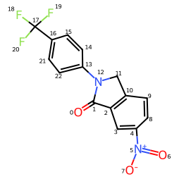 O=C1c2cc([N+](=O)[O-])ccc2CN1c1ccc(C(F)(F)F)cc1